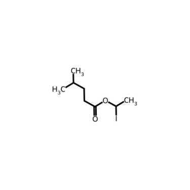 CC(C)CCC(=O)OC(C)I